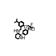 CC(C)c1ccc(OCC(F)(F)F)c(CN[C@H]2CCCN[C@H]2c2ccccc2)c1.Cl